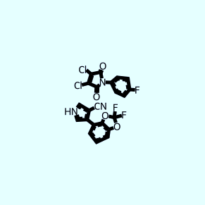 N#Cc1c[nH]cc1-c1cccc2c1OC(F)(F)O2.O=C1C(Cl)=C(Cl)C(=O)N1c1ccc(F)cc1